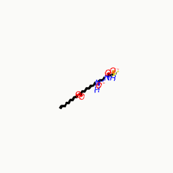 CCCCCCCCCOC(=O)CCCCCCC[NH+]([O-])CCCNC(=O)C[S+](C)[O-]